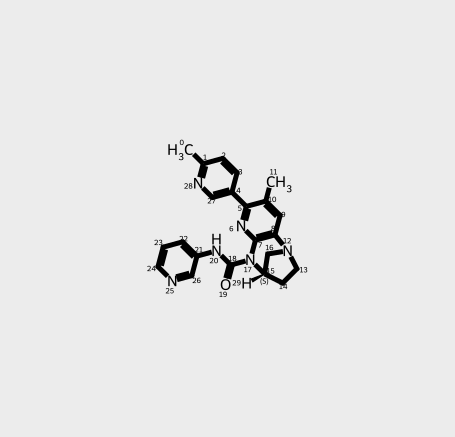 Cc1ccc(-c2nc3c(cc2C)N2CC[C@@H](C2)N3C(=O)Nc2cccnc2)cn1